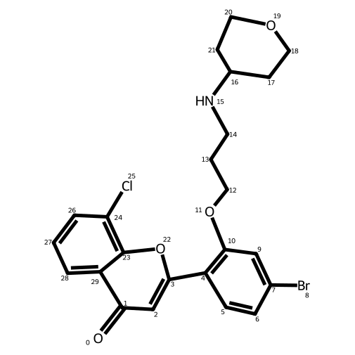 O=c1cc(-c2ccc(Br)cc2OCCCNC2CCOCC2)oc2c(Cl)cccc12